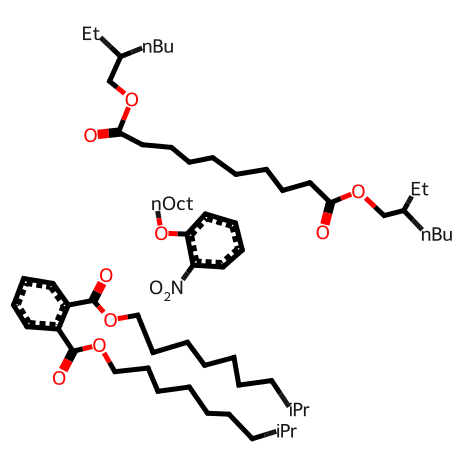 CC(C)CCCCCCCOC(=O)c1ccccc1C(=O)OCCCCCCCC(C)C.CCCCC(CC)COC(=O)CCCCCCCCC(=O)OCC(CC)CCCC.CCCCCCCCOc1ccccc1[N+](=O)[O-]